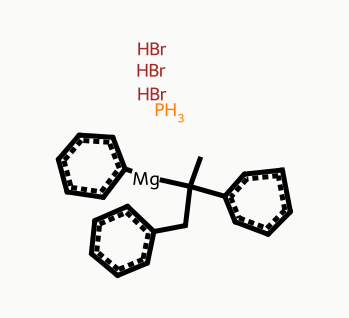 Br.Br.Br.C[C](Cc1ccccc1)([Mg][c]1ccccc1)c1ccccc1.P